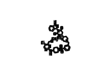 COCc1nc(NC2CCN(S(=O)(=O)c3cccc(CN4CCC(C5CC(=O)N(c6n[nH]c7ccccc67)C(=O)N5C)CC4)c3)CC2)ncc1Cl